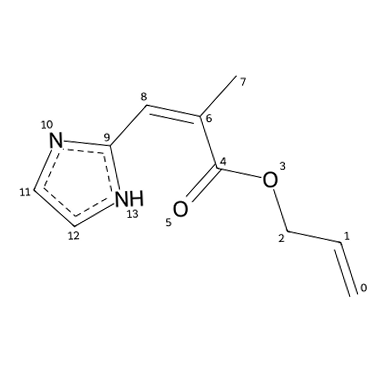 C=CCOC(=O)C(C)=Cc1ncc[nH]1